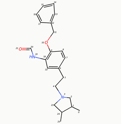 CC1CN(CCc2ccc(OCc3ccccc3)c(NC=O)c2)CC1C